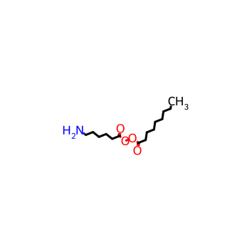 CCCCCCCCC(=O)OOC(=O)CCCCCN